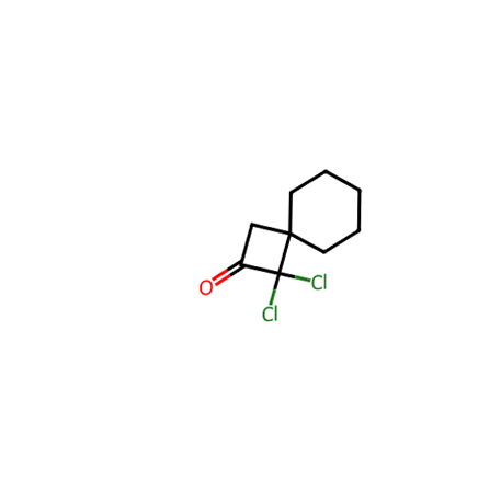 O=C1CC2(CCCCC2)C1(Cl)Cl